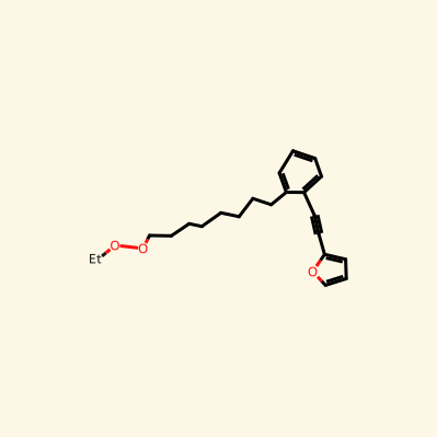 CCOOCCCCCCCCc1ccccc1C#Cc1ccco1